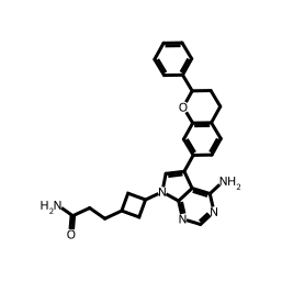 NC(=O)CCC1CC(n2cc(-c3ccc4c(c3)OC(c3ccccc3)CC4)c3c(N)ncnc32)C1